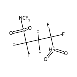 O=[SH](=O)C(F)(F)C(F)(F)C(F)(F)S(=O)(=O)NC(F)(F)F